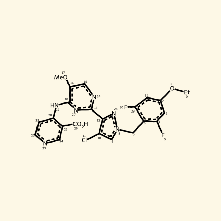 CCOc1cc(F)c(Cn2cc(Cl)c(-c3ncc(OC)c(Nc4ccncc4C(=O)O)n3)n2)c(F)c1